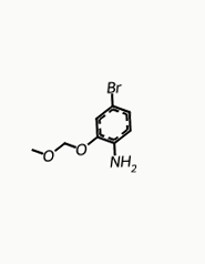 COCOc1cc(Br)ccc1N